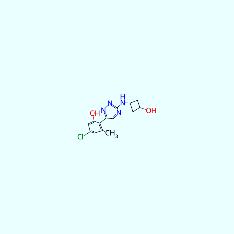 Cc1cc(Cl)cc(O)c1-c1cnc(NC2CC(O)C2)nn1